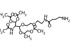 CC(=O)NC(C(OC(C)=O)OC(C)=O)C(OCCOCCNC(=O)CCCN)OC(C)COC(C)=O